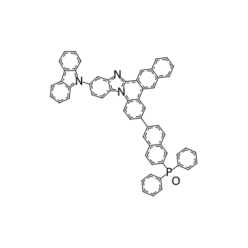 O=P(c1ccccc1)(c1ccccc1)c1ccc2cc(-c3ccc4c(c3)c3cc5ccccc5cc3c3nc5cc(-n6c7ccccc7c7ccccc76)ccc5n43)ccc2c1